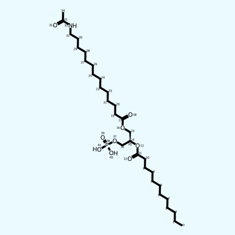 CCCCCCCCCCCC(=O)O[C@H](COC(=O)CCCCCCCCCCCCCNC(C)=O)COP(=O)(O)O